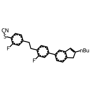 CCCCC1=Cc2cc(-c3ccc(CCc4ccc(SC#N)c(F)c4)c(F)c3)ccc2C1